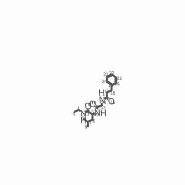 CCNC(=O)C(CC(C)C)NC(=O)CNC(=O)CCc1ccccc1